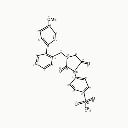 COc1ccc(-c2cnccc2CN2CC(=O)N(c3ccc(S(=O)(=O)C(F)(F)F)cc3)C2=O)cc1